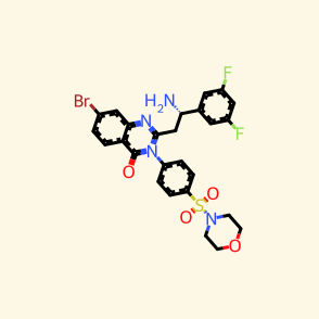 N[C@@H](Cc1nc2cc(Br)ccc2c(=O)n1-c1ccc(S(=O)(=O)N2CCOCC2)cc1)c1cc(F)cc(F)c1